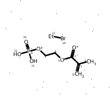 C=C(C)C(=O)OCCOP(=O)(O)O.CCBr